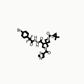 CC1(C)C[C@@H]1C(=O)N1CC2(CN(C(=O)c3cncs3)CC2C(=O)NNC(=O)C(F)(F)c2ccc(Br)cc2)C1